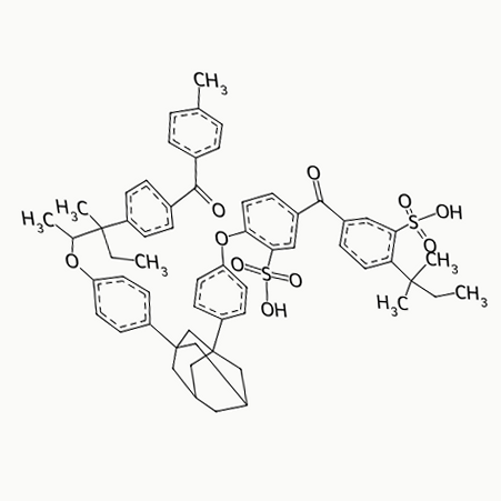 CCC(C)(C)c1ccc(C(=O)c2ccc(Oc3ccc(C45CC6CC(C4)CC(c4ccc(OC(C)C(C)(CC)c7ccc(C(=O)c8ccc(C)cc8)cc7)cc4)(C6)C5)cc3)c(S(=O)(=O)O)c2)cc1S(=O)(=O)O